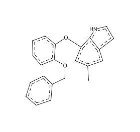 Cc1cc(Oc2ccccc2OCc2ccccc2)c2[nH]ccc2c1